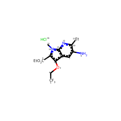 CCOC(=O)c1c(OCC(F)(F)F)c2cc(N)c(CC)nc2n1C.Cl